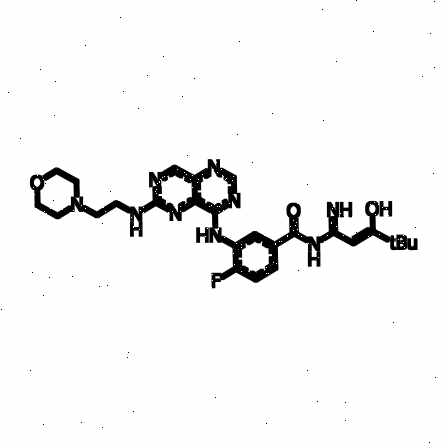 CC(C)(C)/C(O)=C/C(=N)NC(=O)c1ccc(F)c(Nc2ncnc3cnc(NCCN4CCOCC4)nc23)c1